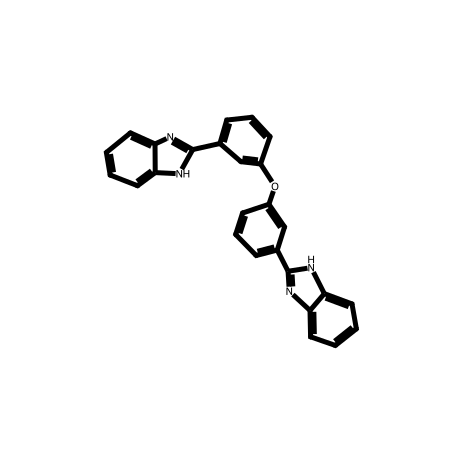 c1cc(Oc2cccc(-c3nc4ccccc4[nH]3)c2)cc(-c2nc3ccccc3[nH]2)c1